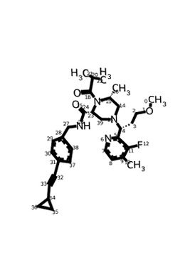 COCC[C@H](c1nccc(C)c1F)N1C[C@@H](C)N(C(=O)C(C)C)[C@@H](C(=O)NCc2ccc(C#CC3CC3)cc2)C1